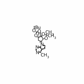 Cc1ncnc2c1ccn2[C@@H]1C[C@H](OC(=O)OC(C)(C)C)[C@H]2OC(C)(C)OC12